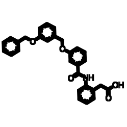 O=C(O)Cc1ccccc1NC(=O)c1cccc(OCc2cccc(OCc3ccccc3)c2)c1